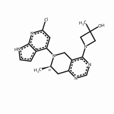 C[C@@H]1Cc2ncnc(N3CC(C)(O)C3)c2CN1c1cc(Cl)nc2[nH]ccc12